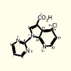 O=C(O)c1cn(-c2ncccn2)c2nccc(Cl)c12